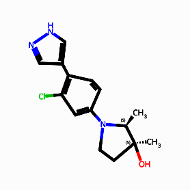 C[C@@H]1N(c2ccc(-c3cn[nH]c3)c(Cl)c2)CC[C@]1(C)O